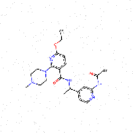 CC(C)C(=O)Nc1cc(C(C)NC(=O)c2ccc(OCC(F)(F)F)nc2N2CCN(C)CC2)ccn1